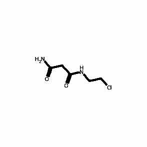 NC(=O)CC(=O)NCCCl